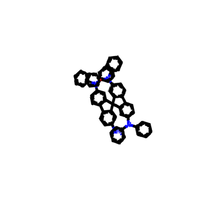 Nc1ccc2c(c1)C1(c3cc(N(c4ccccc4)c4ccccc4)ccc3-2)c2cc(N(c3ccccc3)c3ccccc3)ccc2-c2ccc(N(c3ccccc3)c3ccccc3)cc21